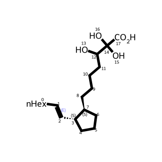 CCCCCC/C=C/[C@H]1CCC[C@@H]1CCCCC(O)C(O)(O)C(=O)O